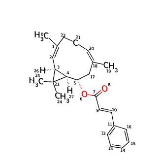 C/C1=C/[C@H]2[C@@H]([C@@H](OC(=O)/C=C/c3ccccc3)C/C(C)=C\CC1)C2(C)C